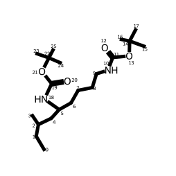 CCC(C)CC(CCCCNC(=O)OC(C)(C)C)NC(=O)OC(C)(C)C